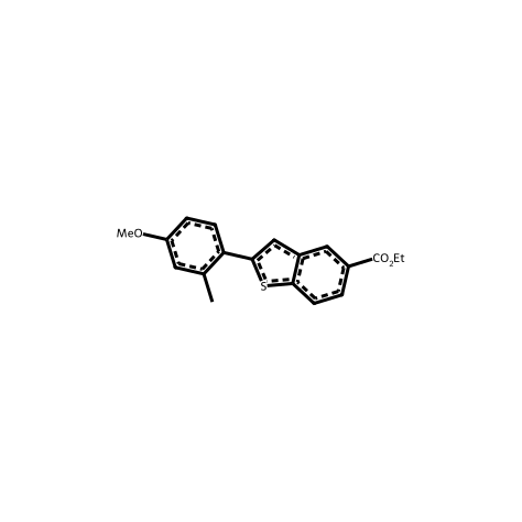 CCOC(=O)c1ccc2sc(-c3ccc(OC)cc3C)cc2c1